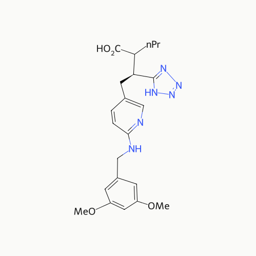 CCCC(C(=O)O)[C@H](Cc1ccc(NCc2cc(OC)cc(OC)c2)nc1)c1nnn[nH]1